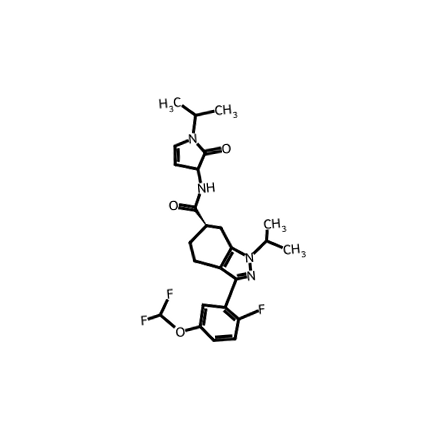 CC(C)N1C=CC(NC(=O)[C@@H]2CCc3c(-c4cc(OC(F)F)ccc4F)nn(C(C)C)c3C2)C1=O